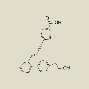 O=C(O)c1ccc(C#C/C=C/c2ccccc2-c2ccc(CCO)cc2)cc1